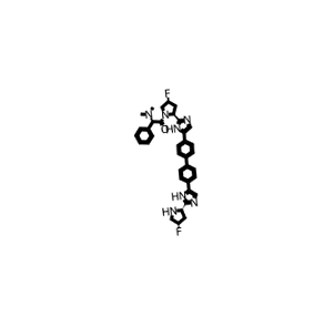 CN(C)[C@@H](C(=O)N1C[C@@H](F)C[C@H]1c1ncc(-c2ccc(-c3ccc(-c4cnc([C@@H]5C[C@H](F)CN5)[nH]4)cc3)cc2)[nH]1)c1ccccc1